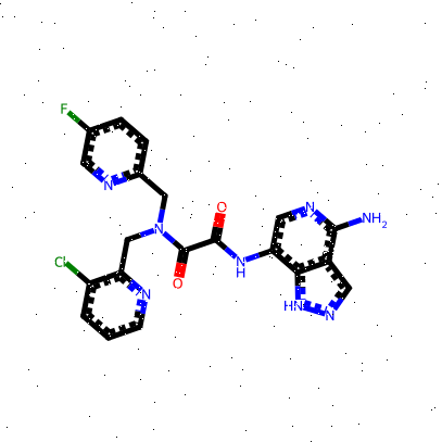 Nc1ncc(NC(=O)C(=O)N(Cc2ccc(F)cn2)Cc2ncccc2Cl)c2[nH]ncc12